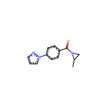 CC1CN1C(=O)c1ccc(-n2cccn2)cc1